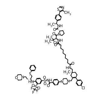 Cc1ncsc1-c1ccc([C@H](C)NC(=O)[C@@H]2CCCN2C(=O)C(NC(=O)CCCCCCCCC(=O)NC[C@@]2(C)CCC(c3ccc(Cl)cc3)=C(CN3CCN(c4ccc(C(=O)NS(=O)(=O)c5ccc(N[C@H](CCN6CCOCC6)CSc6ccccc6)c(S(=O)(=O)C(F)(F)F)c5)cc4)CC3)C2)C(C)(C)C)cc1